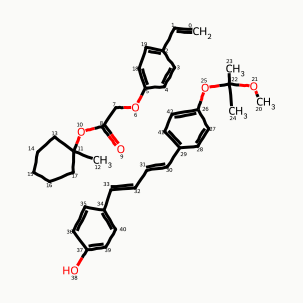 C=Cc1ccc(OCC(=O)OC2(C)CCCCC2)cc1.COC(C)(C)Oc1ccc(C=CC=Cc2ccc(O)cc2)cc1